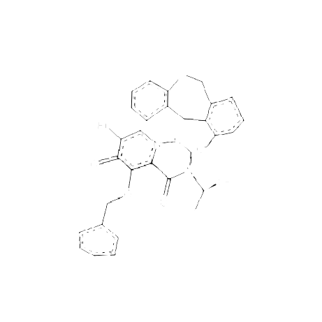 CCc1cn2c(c(OCc3ccccc3)c1=O)C(=O)N([C@H](C)C(F)(F)F)CN2[C@@H]1c2ccccc2SCc2cccc(Cl)c21